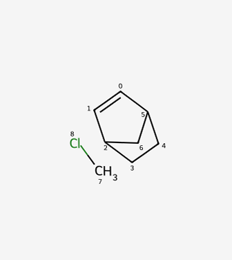 C1=CC2CCC1C2.CCl